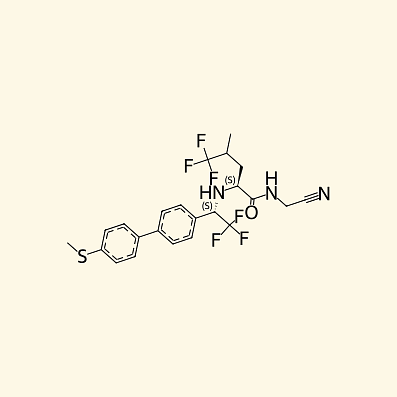 CSc1ccc(-c2ccc([C@H](N[C@@H](CC(C)C(F)(F)F)C(=O)NCC#N)C(F)(F)F)cc2)cc1